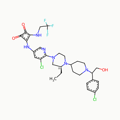 CC[C@H]1CN(c2ncc(Nc3c(NCC(F)(F)F)c(=O)c3=O)cc2Cl)CCN1C1CCN(C(CO)c2ccc(Cl)cc2)CC1